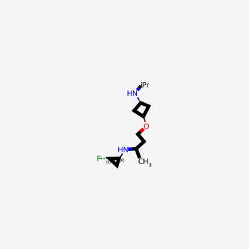 CC(CCO[C@H]1C[C@@H](NC(C)C)C1)N[C@@H]1C[C@@H]1F